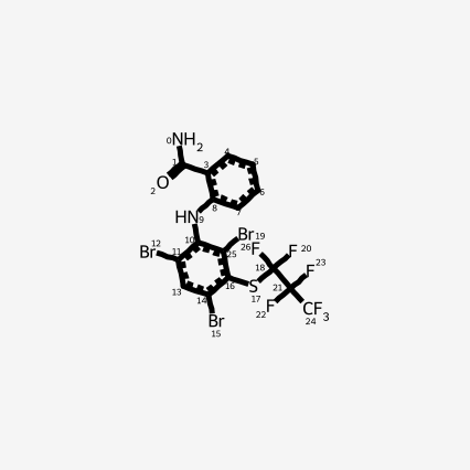 NC(=O)c1ccccc1Nc1c(Br)cc(Br)c(SC(F)(F)C(F)(F)C(F)(F)F)c1Br